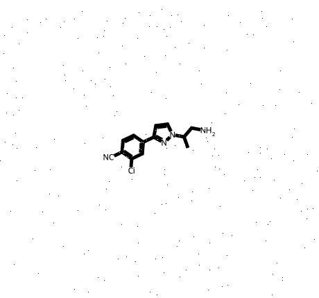 CC(CN)n1ccc(-c2ccc(C#N)c(Cl)c2)n1